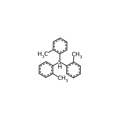 Cc1ccccc1[SH](c1ccccc1C)c1ccccc1C